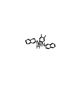 Cc1cc(Nc2ccc3ccccc3c2)c(Nc2ccc3ccccc3c2)cc1C